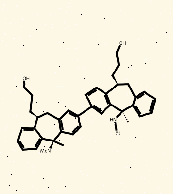 CCN[C@]1(C)c2ccccc2C[C@H](CCCO)c2ccc(-c3ccc4c(c3)C[C@H](CCCO)c3ccccc3[C@]4(C)NC)cc21